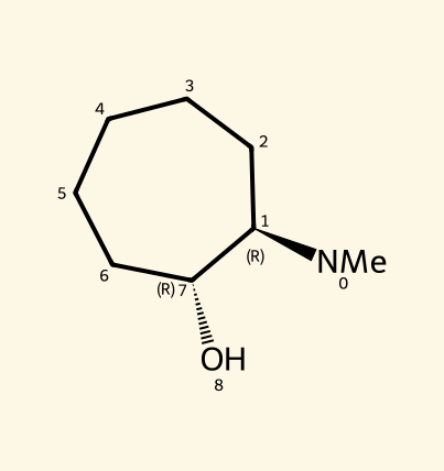 CN[C@@H]1CCCCC[C@H]1O